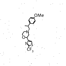 COc1ccc(C(C)CN2CCOC(c3csc(C(F)(F)F)n3)C2)cc1